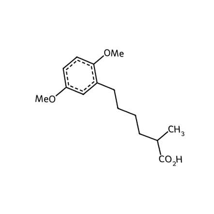 COc1ccc(OC)c(CCCCC(C)C(=O)O)c1